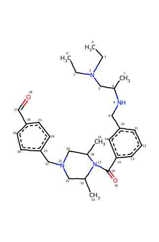 CCN(CC)CC(C)NCc1cccc(C(=O)N2C(C)CN(Cc3ccc(C=O)cc3)CC2C)c1